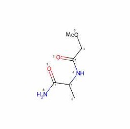 COCC(=O)NC(C)C(N)=O